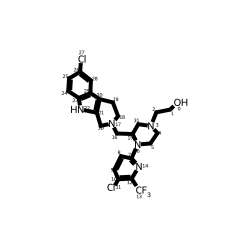 OCCN1CCN(c2ccc(Cl)c(C(F)(F)F)n2)C(CN2CCc3c([nH]c4ccc(Cl)cc34)C2)C1